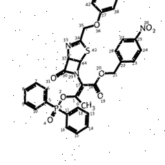 CC(OP(=O)(c1ccccc1)c1ccccc1)=C(C(=O)OCc1ccc([N+](=O)[O-])cc1)N1C(=O)C2N=C(COc3ccccc3)SC21